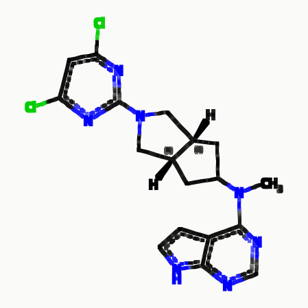 CN(c1ncnc2[nH]ccc12)C1C[C@@H]2CN(c3nc(Cl)cc(Cl)n3)C[C@@H]2C1